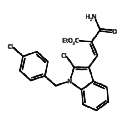 CCOC(=O)C(=Cc1c(Cl)n(Cc2ccc(Cl)cc2)c2ccccc12)C(N)=O